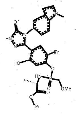 COCP(=O)(N[C@@H](C)C(=O)OC(C)C)Oc1cc(O)c(-c2n[nH]c(=O)n2-c2ccc3c(ccn3C)c2)cc1C(C)C